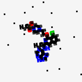 C[C@H](Nc1ncnc2[nH]cnc12)c1cc2cccc(Cl)c2c(OCCN2CCN(S(C)(=O)=O)CC2)n1